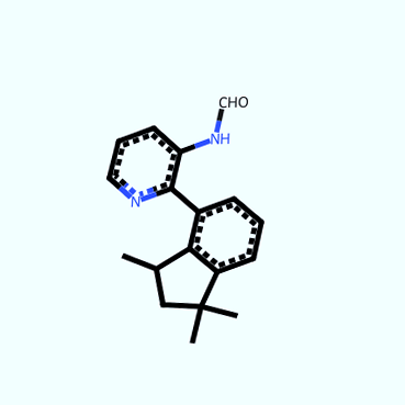 CC1CC(C)(C)c2cccc(-c3ncccc3NC=O)c21